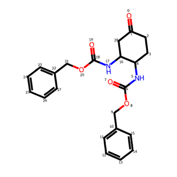 O=C1CCC(NC(=O)OCc2ccccc2)C(NC(=O)OCc2ccccc2)C1